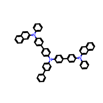 c1ccc(-c2ccc(N(c3ccc(-c4ccc(N(c5ccccc5)c5ccc6ccccc6c5)cc4)cc3)c3ccc(-c4ccc(N(c5ccccc5)c5ccc6ccccc6c5)cc4)cc3)cc2)cc1